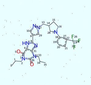 CCCn1c(=O)c2[nH]c(-c3cnn(CC4CCN(c5cccc(C(F)(F)F)c5)C4)c3)nc2n(CCC)c1=O